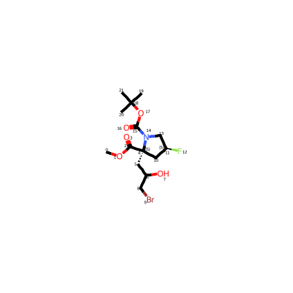 COC(=O)[C@]1(CC(O)CBr)C[C@H](F)CN1C(=O)OC(C)(C)C